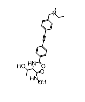 CCN(C)Cc1ccc(C#Cc2ccc(C(=O)N[C@H](C(=O)NO)[C@@H](C)O)cc2)cc1